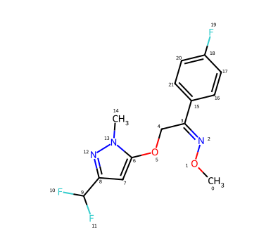 CON=C(COc1cc(C(F)F)nn1C)c1ccc(F)cc1